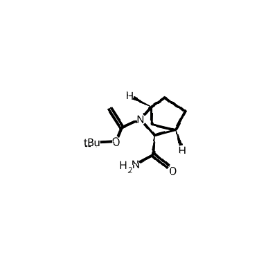 C=C(OC(C)(C)C)N1[C@@H]2CC[C@@H](C2)[C@H]1C(N)=O